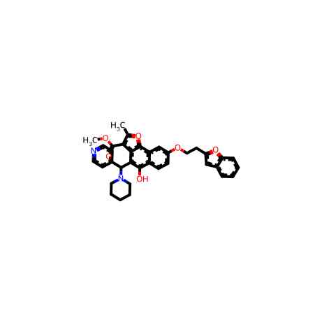 COC(=O)c1c(C)oc2c1c(C(c1ccncc1)N1CCCCC1)c(O)c1ccc(OCCc3cc4ccccc4o3)cc12